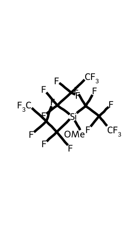 CO[Si](C(F)(F)C(F)(F)C(F)(F)F)(C(F)(F)C(F)(F)C(F)(F)F)C(F)(F)C(F)(F)C(F)(F)F